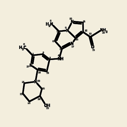 Cc1cc(Nc2cc(N)n3ncc(C(N)=O)c3n2)cc(N2CCCC(O)C2)n1